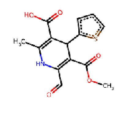 COC(=O)C1=C(C=O)NC(C)=C(C(=O)O)C1c1cccs1